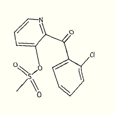 CS(=O)(=O)Oc1cccnc1C(=O)c1ccccc1Cl